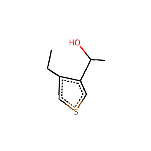 CCc1cscc1C(C)O